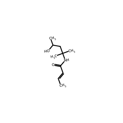 CC=CC(=O)NC(C)(C)CC(C)O